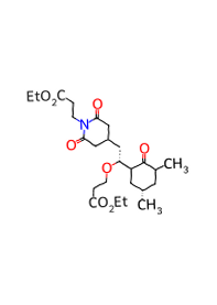 CCOC(=O)CCO[C@H](CC1CC(=O)N(CCC(=O)OCC)C(=O)C1)C1C[C@@H](C)CC(C)C1=O